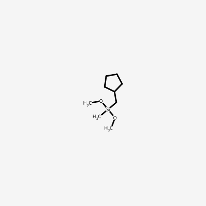 CO[Si](C)(CC1CCCC1)OC